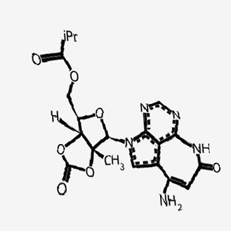 CC(C)C(=O)OC[C@H]1O[C@@H](n2cc3c4c(ncnc42)NC(=O)C=C3N)[C@]2(C)OC(=O)O[C@H]12